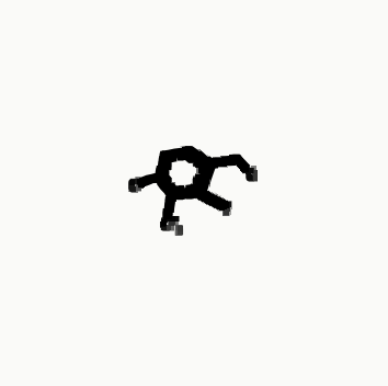 FC(F)(F)c1c(Cl)ccc(CCl)c1I